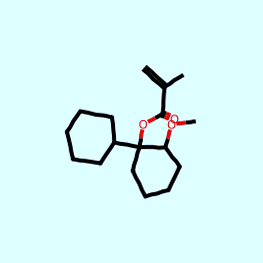 C=C(C)C(=O)OC1(C2CCCCC2)CCCCC1OC